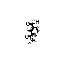 Cc1c(C(=O)O)ccnc1C(=O)N(C)C